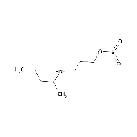 CCCC(C)NCCCO[SH](=O)=O